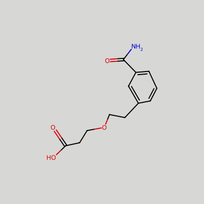 NC(=O)c1cccc(CCOCCC(=O)O)c1